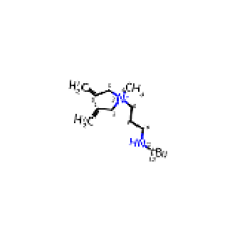 C=CC[N+](C)(CC=C)CCCNC(C)(C)C